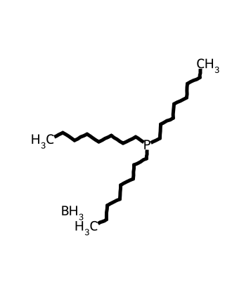 B.CCCCCCCCP(CCCCCCCC)CCCCCCCC